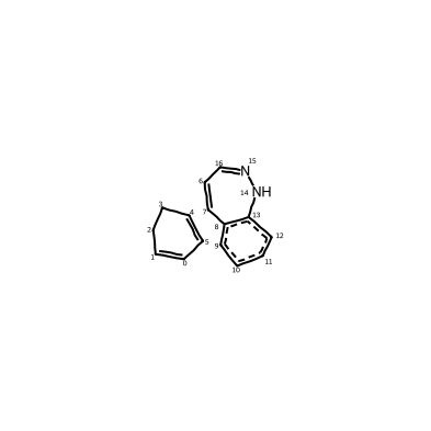 C1=CCCC=C1.C1=Cc2ccccc2NN=C1